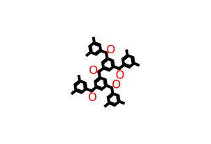 Cc1cc(C)cc(C(=O)c2cc(C(=O)c3cc(C)cc(C)c3)cc(C(=O)c3cc(C(=O)c4cc(C)cc(C)c4)cc(C(=O)c4cc(C)cc(C)c4)c3)c2)c1